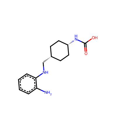 Nc1ccccc1NC[C@H]1CC[C@@H](NC(=O)O)CC1